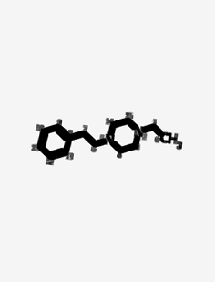 CCN1CCN(CCc2cc[c]cc2)CC1